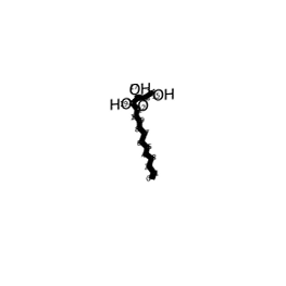 C=CCCCCCCCCCC1OC(CO)C(O)C1O